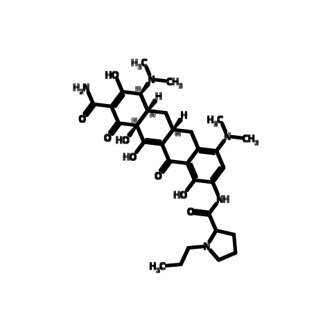 CCCN1CCCC1C(=O)Nc1cc(N(C)C)c2c(c1O)C(=O)C1=C(O)[C@]3(O)C(=O)C(C(N)=O)=C(O)[C@@H](N(C)C)[C@@H]3C[C@@H]1C2